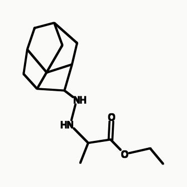 CCOC(=O)C(C)NNC1C2CC3CC(C2)CC1C3